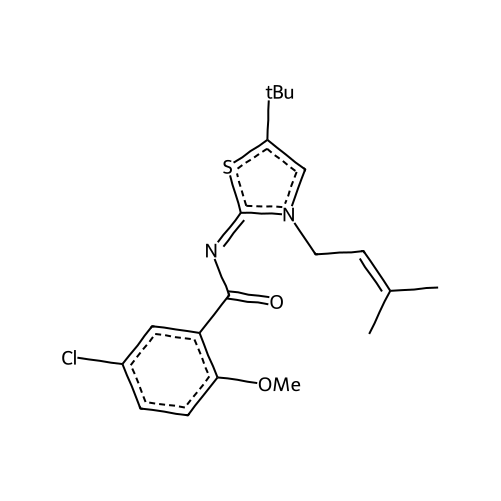 COc1ccc(Cl)cc1C(=O)N=c1sc(C(C)(C)C)cn1CC=C(C)C